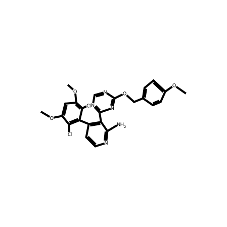 COc1ccc(COc2ncnc(-c3c(-c4c(Cl)c(OC)cc(OC)c4Cl)ccnc3N)n2)cc1